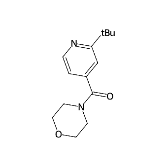 CC(C)(C)c1cc(C(=O)N2CCOCC2)ccn1